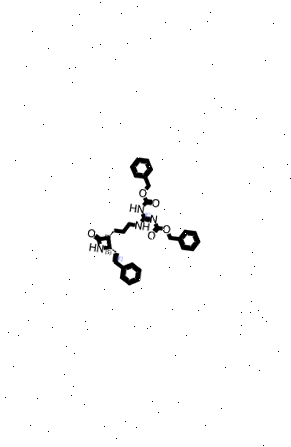 O=C(/N=C(\NCCC[C@H]1C(=O)N[C@H]1/C=C/c1ccccc1)NC(=O)OCc1ccccc1)OCc1ccccc1